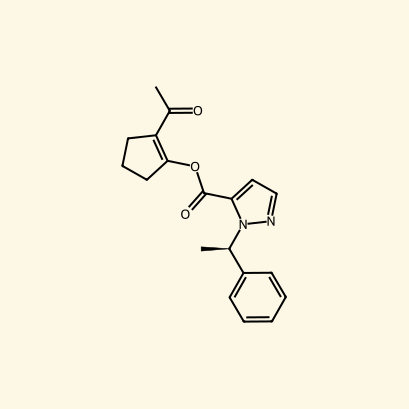 CC(=O)C1=C(OC(=O)c2ccnn2[C@H](C)c2ccccc2)CCC1